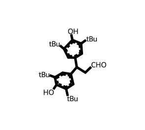 CC(C)(C)c1cc(C(CC=O)c2cc(C(C)(C)C)c(O)c(C(C)(C)C)c2)cc(C(C)(C)C)c1O